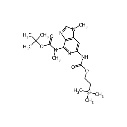 CN(C(=O)OC(C)(C)C)c1nc(NC(=O)OCC[Si](C)(C)C)cc2c1ncn2C